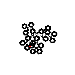 c1ccc(-c2ccc3c(c2)N(c2cccc([Si](c4ccccc4)(c4ccccc4)c4ccccc4)c2)c2cc(N4c5ccccc5C(c5ccccc5)(c5ccccc5)c5ccccc54)cc4c2B3c2ccc([Si](c3ccccc3)(c3ccccc3)c3ccccc3)cc2N4c2cccc([Si](c3ccccc3)(c3ccccc3)c3ccccc3)c2)cc1